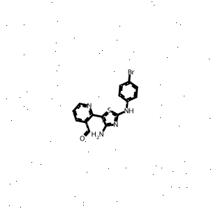 Nc1nc(Nc2ccc(Br)cc2)sc1-c1ncccc1C=O